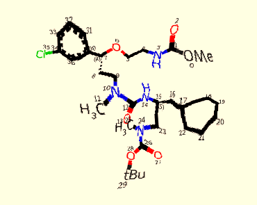 COC(=O)NCCO[C@H](CCN(C)C(=O)N[C@@H](CC1CCCCC1)CN(C)C(=O)OC(C)(C)C)c1cccc(Cl)c1